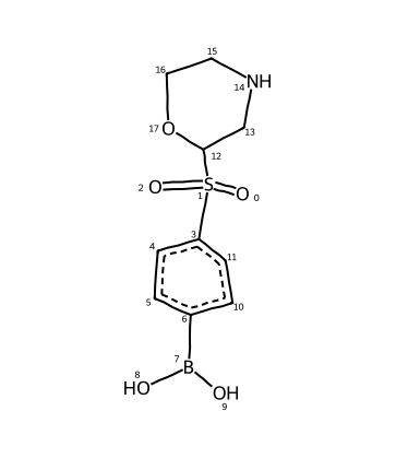 O=S(=O)(c1ccc(B(O)O)cc1)C1CNCCO1